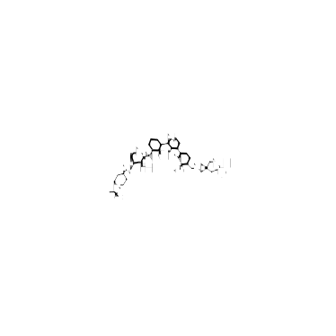 COc1nc(-c2ccnc(-c3cccc(Nc4nccc(CNC5CCN(C(C)=O)CC5)c4F)c3Cl)c2Cl)ccc1CN1CC2(CNC(=O)C2)C1